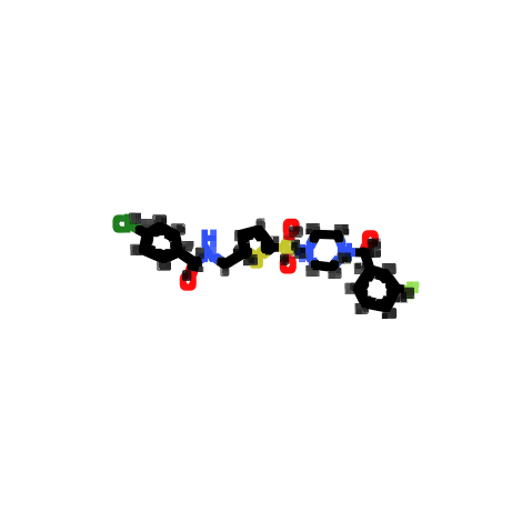 O=C(NCc1ccc(S(=O)(=O)N2CCN(C(=O)c3cccc(F)c3)CC2)s1)c1ccc(Cl)cc1